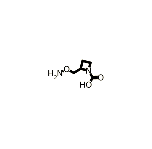 NOCC1CCN1C(=O)O